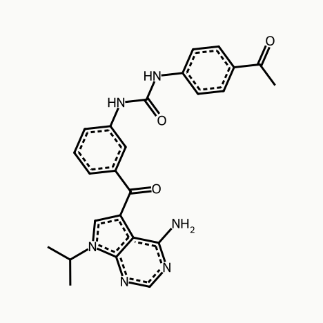 CC(=O)c1ccc(NC(=O)Nc2cccc(C(=O)c3cn(C(C)C)c4ncnc(N)c34)c2)cc1